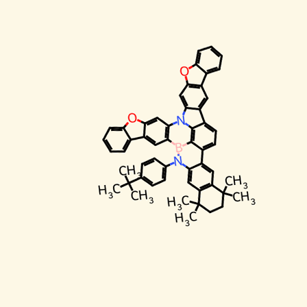 CC(C)(C)c1ccc(N2B3c4cc5c(cc4-n4c6cc7oc8ccccc8c7cc6c6ccc(c3c64)-c3cc4c(cc32)C(C)(C)CCC4(C)C)oc2ccccc25)cc1